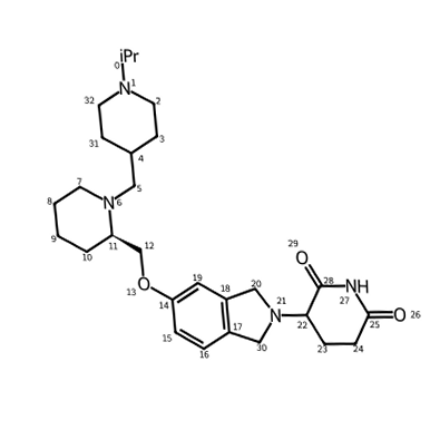 CC(C)N1CCC(CN2CCCC[C@@H]2COc2ccc3c(c2)CN(C2CCC(=O)NC2=O)C3)CC1